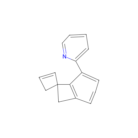 C1=CC2(C1)Cc1cccc(-c3ccccn3)c12